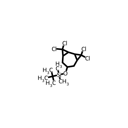 CC(C)(C)[Si](C)(C)OC1CC2C(C3C(C1)C3(Cl)Cl)C2(Cl)Cl